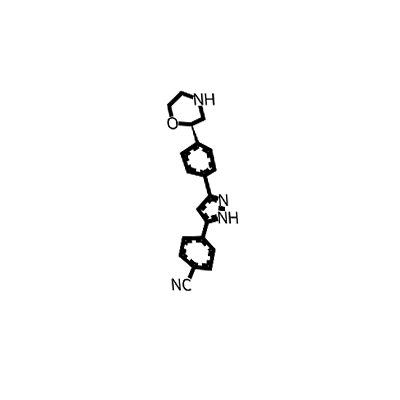 N#Cc1ccc(-c2cc(-c3ccc([C@@H]4CNCCO4)cc3)n[nH]2)cc1